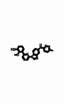 COc1c(O)cccc1-c1[c]ccc(-n2cnc3cc(Nc4ccc(C)nn4)ccc32)n1